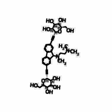 CN(C)CCN(C)C1c2cc(C#C[C@H]3O[C@H](CO)[C@@H](O)[C@H](O)[C@@H]3O)ccc2-c2ccc(C#C[C@H]3O[C@H](CO)[C@@H](O)[C@H](O)[C@@H]3O)cc21